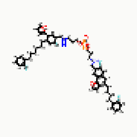 O=[PH](OCCCNCc1cc(-c2ccco2)c(CCCCCCc2ccccc2F)cc1F)OCCCNCc1cc(-c2ccco2)c(CCCCCCc2ccccc2F)cc1F